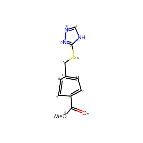 COC(=O)c1ccc(CSc2nnc[nH]2)cc1